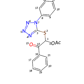 CC(=O)OC(Sc1nnnn1-c1ccccc1)C(=O)c1ccccc1